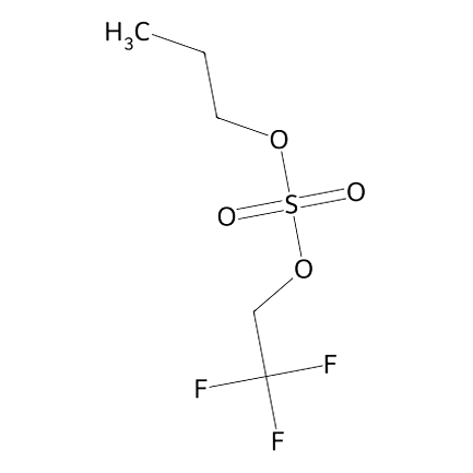 CCCOS(=O)(=O)OCC(F)(F)F